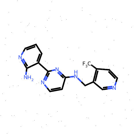 Nc1ncccc1-c1nccc(NCc2cnccc2C(F)(F)F)n1